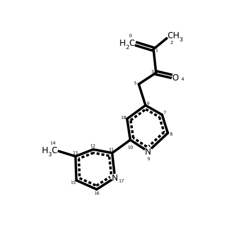 C=C(C)C(=O)Cc1ccnc(-c2cc(C)ccn2)c1